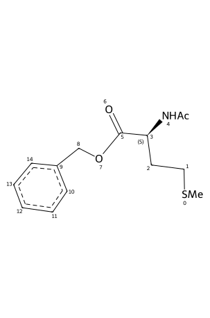 CSCC[C@H](NC(C)=O)C(=O)OCc1ccccc1